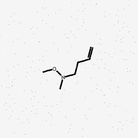 C=CCCN(C)OC